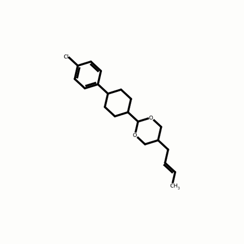 C/C=C/CC1COC(C2CCC(c3ccc(Cl)cc3)CC2)OC1